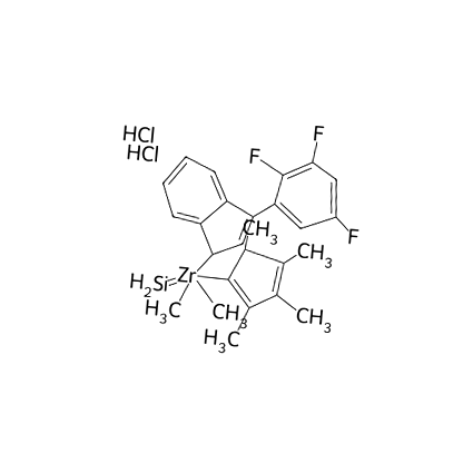 CC1=C(C)C(C)[C]([Zr]([CH3])([CH3])(=[SiH2])[CH]2C=C(c3cc(F)cc(F)c3F)c3ccccc32)=C1C.Cl.Cl